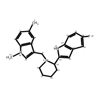 Cc1ccc2c(c1)c(CN1CCCCC1c1cc3cc(F)ccc3[nH]1)cn2C